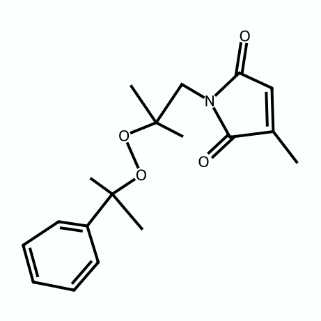 CC1=CC(=O)N(CC(C)(C)OOC(C)(C)c2ccccc2)C1=O